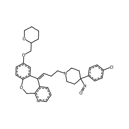 O=NC1(c2ccc(Cl)cc2)CCN(CC/C=C2/c3cc(OCC4CCCCO4)ccc3OCc3ncccc32)CC1